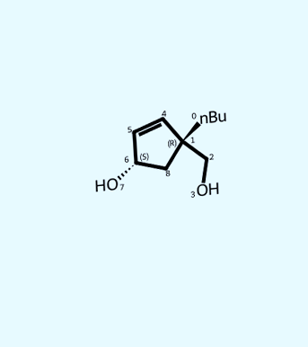 CCCC[C@]1(CO)C=C[C@@H](O)C1